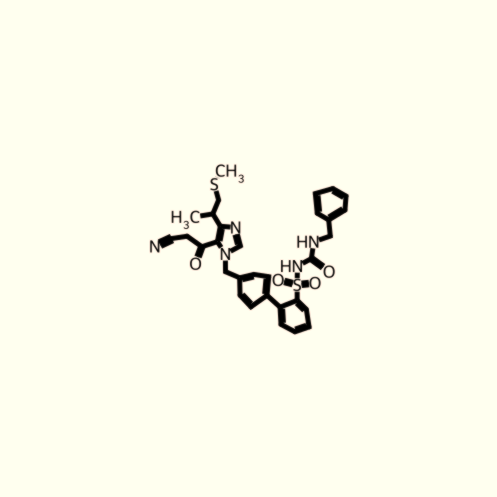 CSCC(C)c1ncn(Cc2ccc(-c3ccccc3S(=O)(=O)NC(=O)NCc3ccccc3)cc2)c1C(=O)CC#N